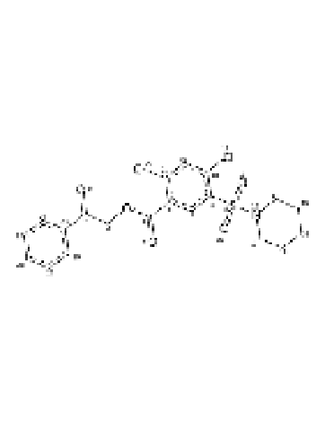 O=C(COC(=O)c1cc(S(=O)(=O)N2CCCCC2)c(Cl)cc1Cl)c1ccccc1